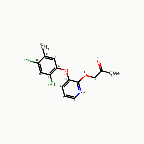 COC(=O)COc1ncccc1Oc1cc(C)c(F)cc1Cl